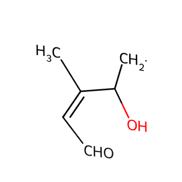 [CH2]C(O)C(C)=CC=O